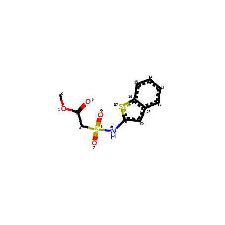 COC(=O)CS(=O)(=O)Nc1cc2ccccc2s1